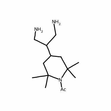 CC(=O)N1C(C)(C)CC(C(CN)CN)CC1(C)C